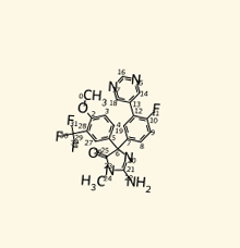 COc1ccc(C2(c3ccc(F)c(-c4cncnc4)c3)N=C(N)N(C)C2=O)cc1C(F)(F)F